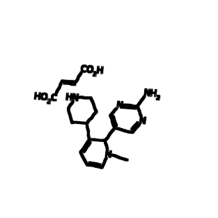 CN1C=CC=C(C2CCNCC2)C1c1cnc(N)nc1.O=C(O)/C=C/C(=O)O